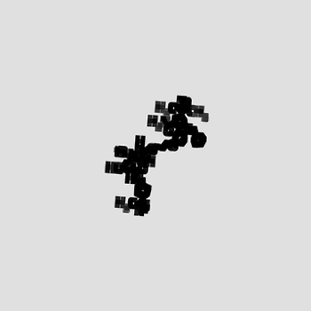 Cc1ncsc1-c1ccc(CNC(=O)[C@@H]2C[C@@H](O)CN2C(O)[C@@H](NC(=O)COCCCOc2ccc3c(c2)c2c(C(N)=O)cc(-c4c(C)noc4C)cc2n3Cc2ccccc2)C(C)(C)C)cc1